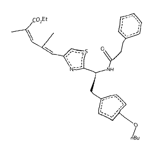 CCCCOc1ccc(C[C@H](NC(=O)Cc2ccccc2)c2nc(/C=C(C)/C=C(/C)C(=O)OCC)cs2)cc1